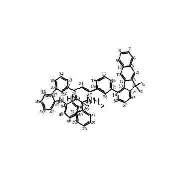 CC1(C)c2cc3ccccc3cc2-c2c(-c3cccc(/C=C/C(NC(N)c4ccccc4)c4cccc5c6ccccc6n(-c6ccccc6)c45)c3)cccc21